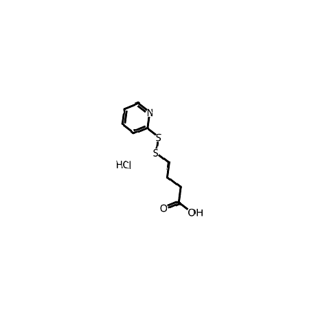 Cl.O=C(O)CCCSSc1ccccn1